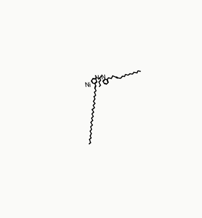 CCCCCCCCCCCC#CCCCc1ccccc1/N=C\C(CCCC)=N\c1cccc(/C=C/CCCCCCCCCCCCCCCCCCCCCCCCCC)c1.[Ni]